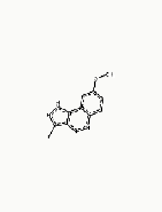 COc1ccc2ncc3c(I)n[nH]c3c2c1